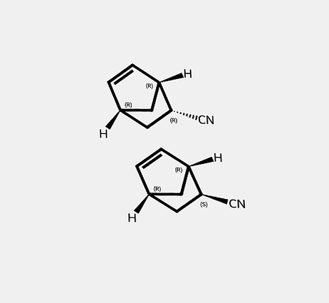 N#C[C@@H]1C[C@@H]2C=C[C@H]1C2.N#C[C@H]1C[C@@H]2C=C[C@H]1C2